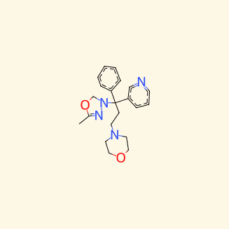 CC1=NN(C(CCN2CCOCC2)(c2ccccc2)c2cccnc2)CO1